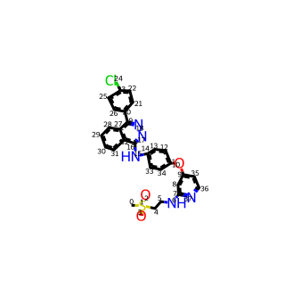 CS(=O)(=O)CCNc1cc(Oc2ccc(Nc3nnc(-c4ccc(Cl)cc4)c4ccccc34)cc2)ccn1